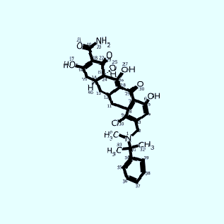 CN(Cc1cc(O)c2c(c1Cl)CC1C[C@H]3CC(O)=C(C(N)=O)C(=O)[C@@]3(O)C(O)=C1C2=O)C(C)(C)c1ccccc1